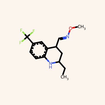 CCC1CC(C=NOC)c2cc(C(F)(F)F)ccc2N1